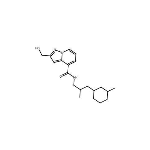 CC1CCCC(CC(C)CNC(=O)c2cccn3nc(CO)cc23)C1